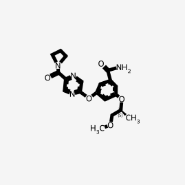 COC[C@H](C)Oc1cc(Oc2cnc(C(=O)N3CCC3)cn2)cc(C(N)=O)c1